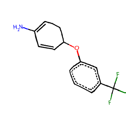 NC1=CCC(Oc2cccc(C(F)(F)F)c2)C=C1